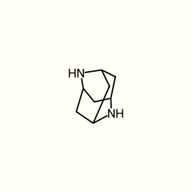 C1C2CC3CC(CC1N3)N2